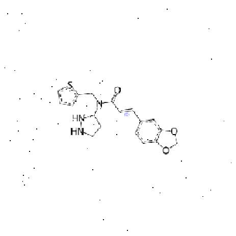 O=C(/C=C/c1ccc2c(c1)OCO2)N(Cc1cccs1)C1CCNN1